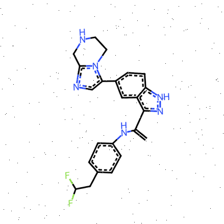 C=C(Nc1ccc(CC(F)F)cc1)c1n[nH]c2ccc(-c3cnc4n3CCNC4)cc12